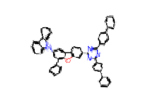 c1ccc(-c2ccc(-c3nc(-c4ccc(-c5ccccc5)cc4)nc(-c4ccc5c(c4)oc4c(-c6ccccc6)cc(-n6c7ccccc7c7ccccc76)cc45)n3)cc2)cc1